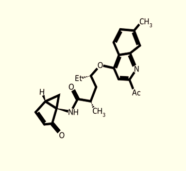 CC[C@@H](C[C@H](C)C(=O)N[C@]12C[C@H]1C=CC2=O)Oc1cc(C(C)=O)nc2cc(C)ccc12